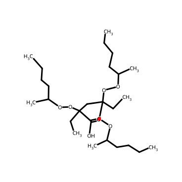 CCCCC(C)OOC(CC)(CC(CC)(OOC(C)CCCC)C(=O)O)OOC(C)CCCC